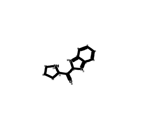 O=C(C1N=c2ccccc2=N1)C1CCCN1